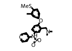 CSc1ccc(Oc2ccc(N(c3ccccc3)[SH](=O)=O)cc2CN(C)C)cc1C